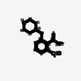 C=C(c1c(C=O)cccc1CN1CCOCC1)C(C)C